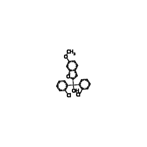 COc1ccc2cc(C(O)(c3ccccc3Cl)c3ccccc3Cl)oc2c1